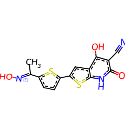 C/C(=N\O)c1ccc(-c2cc3c(O)c(C#N)c(=O)[nH]c3s2)s1